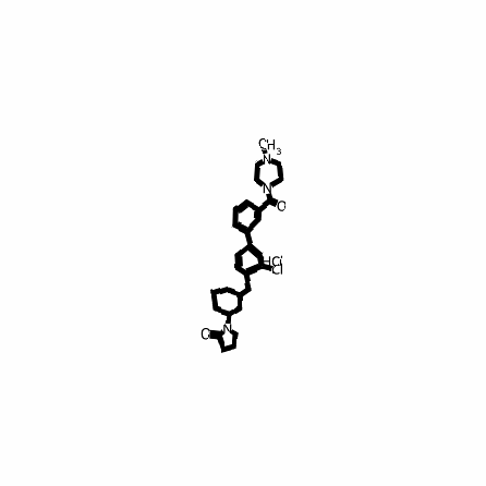 CN1CCN(C(=O)c2cccc(-c3ccc(CC4CCCC(N5CCCC5=O)C4)c(Cl)c3)c2)CC1.Cl